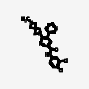 CN1CC2(C1)CN(c1ncc(C(=O)Nc3ccc(Cl)c(Cl)c3)cc1-c1cncnc1)C2